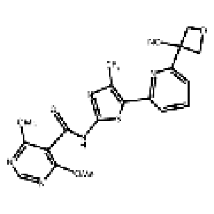 COc1ncnc(OC)c1C(=O)Nc1nc(C(F)(F)F)c(-c2cccc(C3(C#N)COC3)n2)s1